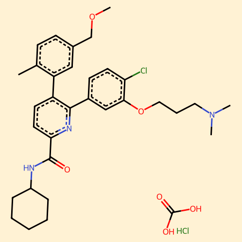 COCc1ccc(C)c(-c2ccc(C(=O)NC3CCCCC3)nc2-c2ccc(Cl)c(OCCCN(C)C)c2)c1.Cl.O=C(O)O